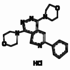 Cl.c1ccc(-c2cc3c(N4CCOCC4)nnc(N4CCOCC4)c3cn2)cc1